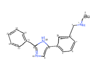 CCC(C)NCc1cccc(-c2cnc(-c3ccccc3)[nH]2)c1